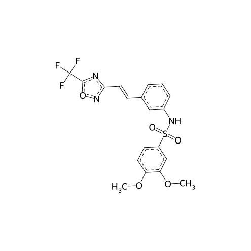 COc1ccc(S(=O)(=O)Nc2cccc(C=Cc3noc(C(F)(F)F)n3)c2)cc1OC